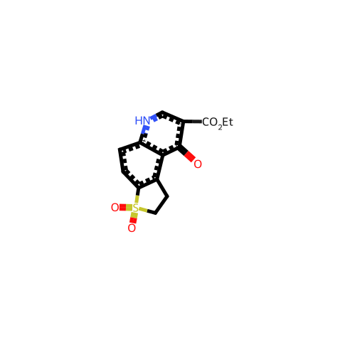 CCOC(=O)c1c[nH]c2ccc3c(c2c1=O)CCS3(=O)=O